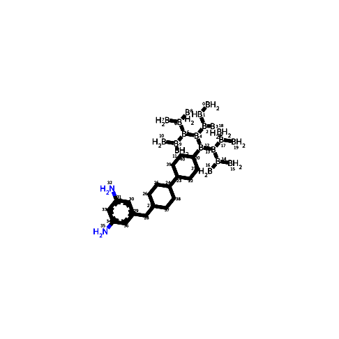 BBB(B)B(B(B(B)B)B(B)B)B(B(B(B)B)B(B)B)C1CCC(C2CCC(Cc3cc(N)cc(N)c3)CC2)CC1